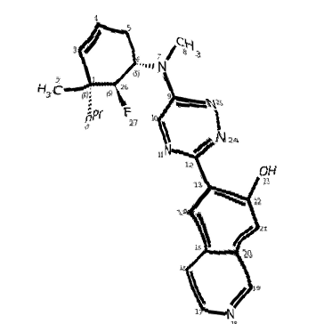 CCC[C@]1(C)C=CC[C@H](N(C)c2cnc(-c3cc4ccncc4cc3O)nn2)[C@H]1F